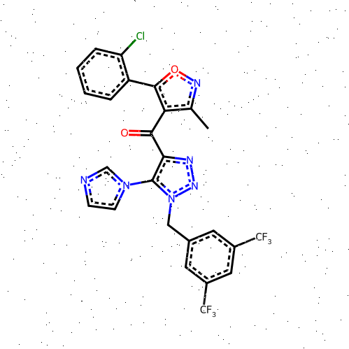 Cc1noc(-c2ccccc2Cl)c1C(=O)c1nnn(Cc2cc(C(F)(F)F)cc(C(F)(F)F)c2)c1-n1ccnc1